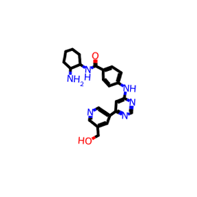 NC1CCCCC1NC(=O)c1ccc(Nc2cc(-c3cncc(CO)c3)ncn2)cc1